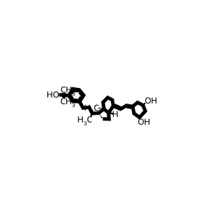 C[C@@H](CCc1cccc(C(C)(C)O)c1)[C@H]1CC[C@H]2/C(=C/C=C3C[C@@H](O)C[C@H](O)C3)CCC[C@]12C